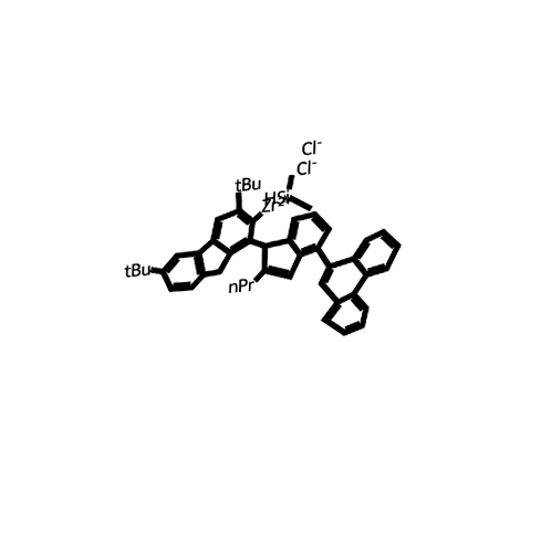 CCCC1=Cc2c(-c3cc4ccccc4c4ccccc34)cccc2C1c1c2c(cc(C(C)(C)C)[c]1[Zr+2][SiH](C)C)-c1cc(C(C)(C)C)ccc1C2.[Cl-].[Cl-]